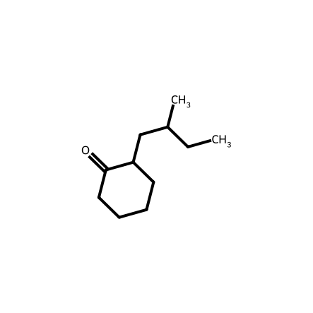 CCC(C)CC1CCCCC1=O